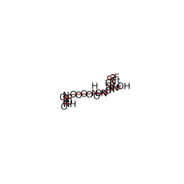 CCc1c(F)ccc2cccc(-c3ncc4c(N5CCC[C@@](C)(O)C5)nc(OC[C@@]56CCCN5[C@H](COC(=O)NCCOCCOCCOCCOc5ccc7c(c5)n(C)c(=O)n7C5CCC(=O)NC5=O)CC6)nc4c3F)c12